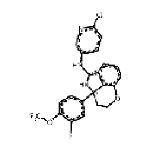 O=C(Nc1ccc(Cl)nc1)N[C@]1(c2ccc(OC(F)(F)F)c(F)c2)CCOc2cccnc21